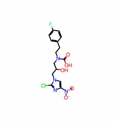 O=C(O)N(CCc1ccc(F)cc1)CC(O)Cn1cc([N+](=O)[O-])nc1Cl